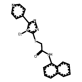 CCn1c(SCC(=O)Nc2cccc3ccccc23)nnc1-c1ccncc1